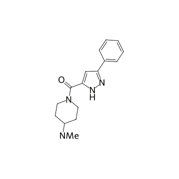 CNC1CCN(C(=O)c2cc(-c3ccccc3)n[nH]2)CC1